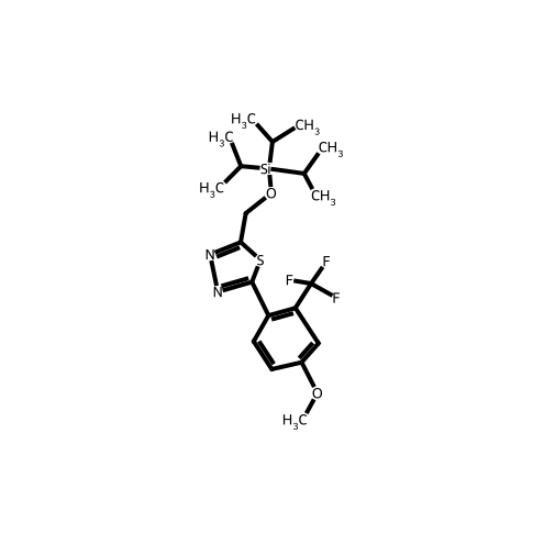 COc1ccc(-c2nnc(CO[Si](C(C)C)(C(C)C)C(C)C)s2)c(C(F)(F)F)c1